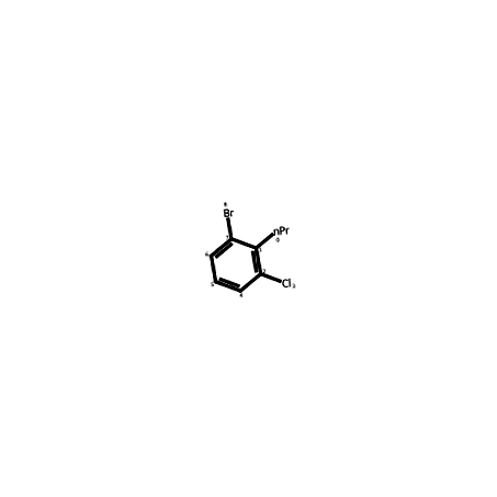 CCCc1c(Cl)cccc1Br